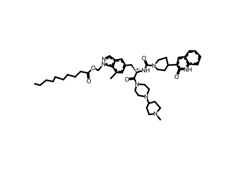 CCCCCCCCCC(=O)OCn1ncc2cc(C[C@@H](NC(=O)N3CCC(c4cc5ccccc5[nH]c4=O)CC3)C(=O)N3CCN(C4CCN(C)CC4)CC3)cc(C)c21